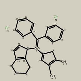 CC1=C(C)C[C]([Zr+2](=[C](c2ccccc2)c2ccccc2)[CH]2C=CC3=C2CCCC3)=C1.[Cl-].[Cl-]